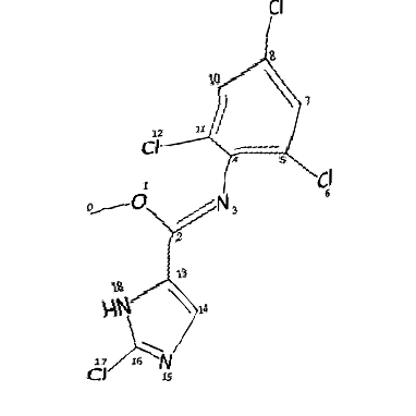 COC(=Nc1c(Cl)cc(Cl)cc1Cl)c1cnc(Cl)[nH]1